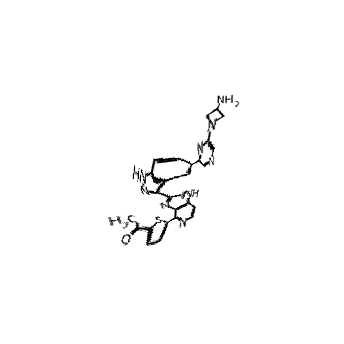 CC(=O)c1ccc(-c2nccc3[nH]c(-c4n[nH]c5ccc(-c6cncc(N7CC(N)C7)n6)cc45)nc23)s1